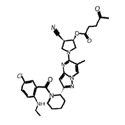 CCNc1ccc(Cl)cc1C(=O)N1CCCC[C@H]1c1cc2nc(N3C[C@@H](C#N)[C@@H](OC(=O)CCC(C)=O)C3)c(C)cn2n1